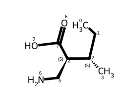 CC[C@H](C)[C@@H](CN)C(=O)O